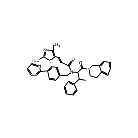 Cc1nc(C)c(C=CC(=O)N(Cc2ccc(-c3ccccn3)cc2)C(C(=O)N2CCc3ccccc3C2)C(I)c2ccccc2)s1